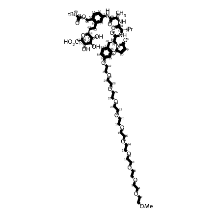 COCCOCCOCCOCCOCCOCCOCCOCCOCCOCCOCCOc1ccc(C[C@@H](C(=O)N[C@H](C(=O)N[C@@H](C)C(=O)Nc2ccc(COC(=O)C(C)(C)C)c(CC[C@@H]3O[C@H](C(=O)O)[C@@H](O)[C@H](O)[C@H]3O)c2)C(C)C)N2C(=O)C=CC2=O)cc1